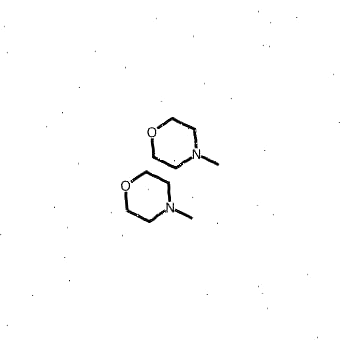 CN1CCOCC1.CN1CCOCC1